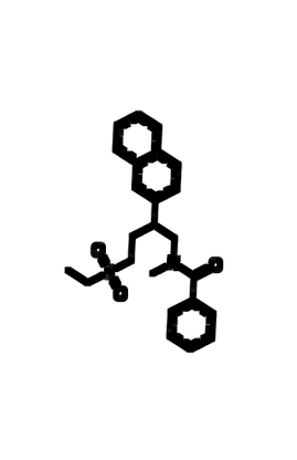 CCS(=O)(=O)CCC(CN(C)C(=O)c1ccccc1)c1ccc2ccccc2c1